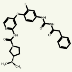 CN(C)[C@@H]1CCN(C(=O)Nc2cc(Oc3ccc(NC(=O)NC(=O)Cc4ccccc4)cc3F)ccn2)C1